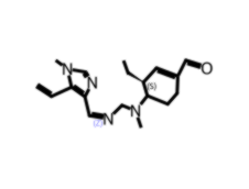 C=Cc1c(/C=N\CN(C)C2CCC(C=O)=C[C@@H]2CC)ncn1C